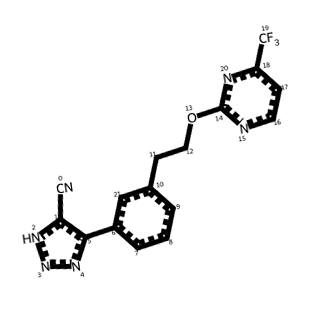 N#Cc1[nH]nnc1-c1cccc(CCOc2nccc(C(F)(F)F)n2)c1